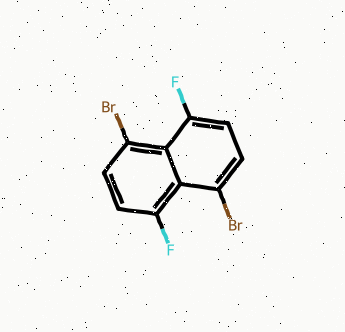 Fc1ccc(Br)c2c(F)ccc(Br)c12